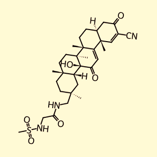 C[C@]1(CNC(=O)CNS(C)(=O)=O)CC[C@]2(C)CC[C@@]3(C)[C@]4(C)CC[C@H]5CC(=O)C(C#N)=C[C@]5(C)C4=CC(=O)[C@]3(O)[C@@H]2C1